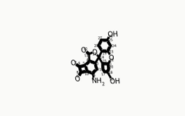 Nc1cc2c(c3c(=O)c(=O)c13)C(=O)OC21c2ccc(O)cc2Oc2cc(O)ccc21